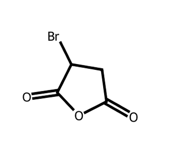 O=C1CC(Br)C(=O)O1